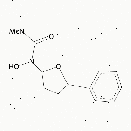 CNC(=O)N(O)C1CCC(c2ccccc2)O1